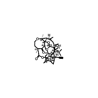 C#CN[C@@H]1[C@@H](C)N(C)C[C@H](C)C[C@]2(C)OCC[C@](C)(C(=O)O[C@H](CC)[C@@]1(C)O)C(=O)[C@H](C)[C@H]2O[C@@H]1O[C@H](CN(C)C2CC2)C[C@H](N(C)C)[C@H]1O